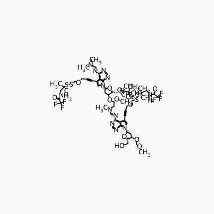 COCOC1C[C@H](n2cc(C#CCOCSSC(C)(C)CNC(=O)C(F)(F)F)c3c(/N=C/N(C)CC(OC)OC4C[C@H](n5cc(C#CCOCSSC(C)(C)CNC(=O)C(F)(F)F)c6c(/N=C/N(C)C)ncnc65)O[C@@H]4CO[Si](C)(C)C(C)(C)C)ncnc32)O[C@@H]1CO